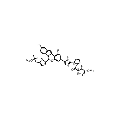 COC(=O)N[C@H](C(=O)N1CCC[C@H]1c1ncc(-c2cc(F)c3c(c2)OC(c2ccc(CC(C)(C)OC)s2)n2c-3cc3cc(Cl)ccc32)[nH]1)C(C)C